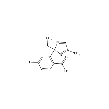 CCC1(c2cc(F)ccc2[N+](=O)[O-])N=CC(C)=N1